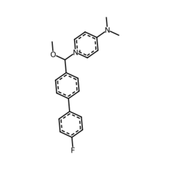 COC(c1ccc(-c2ccc(F)cc2)cc1)[n+]1ccc(N(C)C)cc1